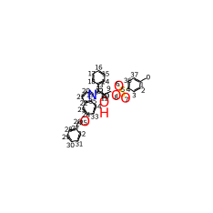 Cc1ccc(S(=O)(=O)OC[C@@H](O)[C@H](c2ccccc2)n2ccc3cc(OCc4ccccc4)ccc32)cc1